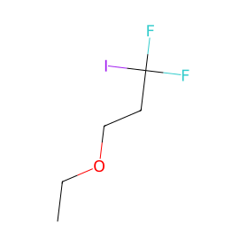 CCOCCC(F)(F)I